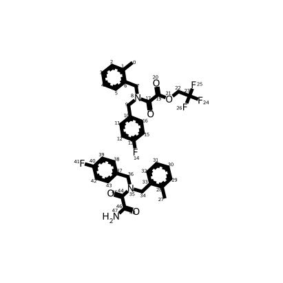 Cc1ccccc1CN(Cc1ccc(F)cc1)C(=O)C(=O)OCC(F)(F)F.Cc1ccccc1CN(Cc1ccc(F)cc1)C(=O)C(N)=O